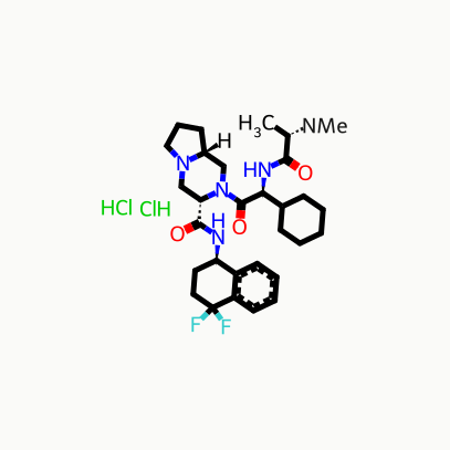 CN[C@@H](C)C(=O)N[C@H](C(=O)N1C[C@H]2CCCN2C[C@H]1C(=O)N[C@@H]1CCC(F)(F)c2ccccc21)C1CCCCC1.Cl.Cl